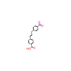 O=C(O)c1ccc(C=CCc2ccc([N+](=O)[O-])cc2)cc1